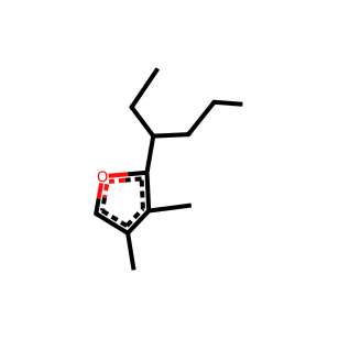 CCCC(CC)c1occ(C)c1C